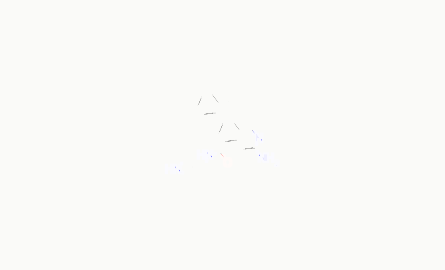 Cc1cccc(Cl)c1-c1cc(C(=O)NCC2CNC2)c2cc(N)ncc2c1